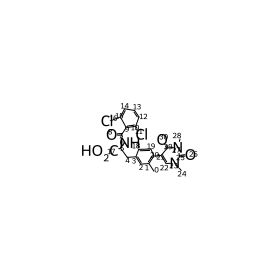 Cc1cc(C[C@H](NC(=O)c2c(Cl)cccc2Cl)C(=O)O)ccc1-c1cn(C)c(=O)n(C)c1=O